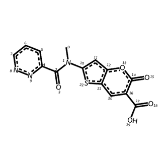 CN(C(=O)c1cccnn1)c1cc2oc(=O)c(C(=O)O)cc2s1